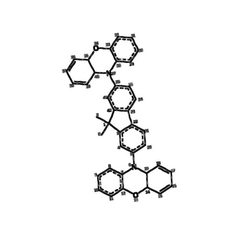 CC1(C)c2cc(N3c4ccccc4OC4C=CC=CC43)ccc2-c2ccc(N3c4ccccc4OC4C=CC=CC43)cc21